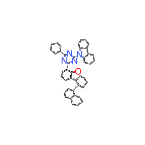 c1ccc(-c2nc(-c3cccc4c3oc3cccc(-c5cccc6ccccc56)c34)nc(-n3c4ccccc4c4ccccc43)n2)cc1